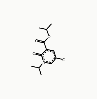 CC(C)OC(=O)c1cc(Cl)cn(C(C)C)c1=O